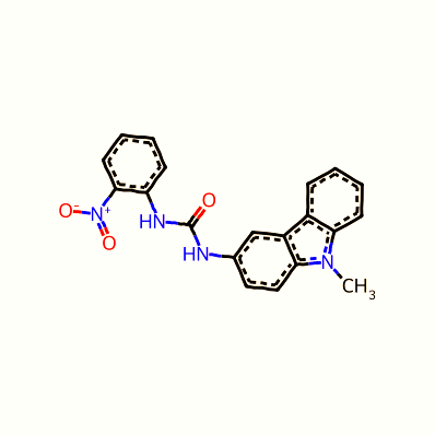 Cn1c2ccccc2c2cc(NC(=O)Nc3ccccc3[N+](=O)[O-])ccc21